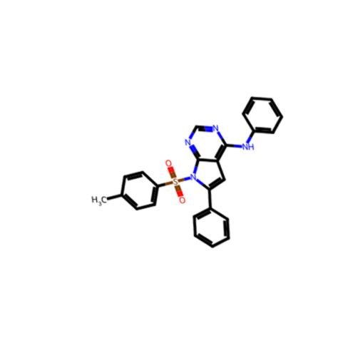 Cc1ccc(S(=O)(=O)n2c(-c3ccccc3)cc3c(Nc4ccccc4)ncnc32)cc1